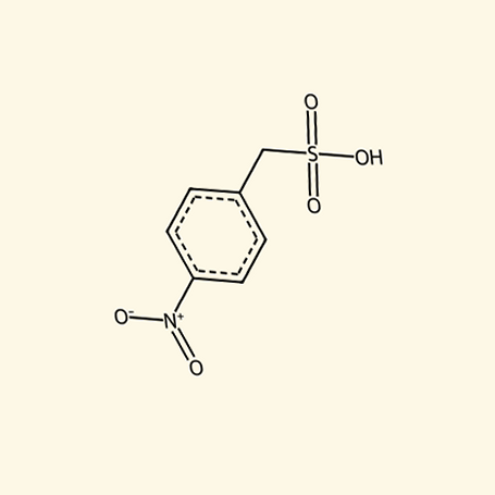 O=[N+]([O-])c1ccc(CS(=O)(=O)O)cc1